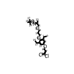 CCc1cc(OCC=C(Cl)Cl)cc(CC)c1OCCCOCC(C)=NOC(C)(C)C